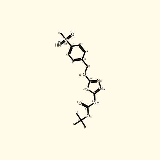 CC(C)(C)OC(=O)Nc1nnc(OCc2ccc(S(C)(=N)=O)cc2)s1